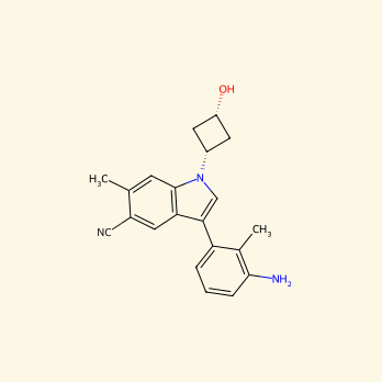 Cc1cc2c(cc1C#N)c(-c1cccc(N)c1C)cn2[C@H]1C[C@@H](O)C1